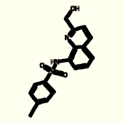 Cc1ccc(S(=O)(=O)Nc2cccc3ccc(CO)nc23)cc1